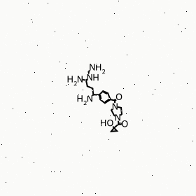 NCNC(N)CCC(N)c1ccc(C(=O)N2CCN(C(=O)C3(O)CC3)CC2)cc1